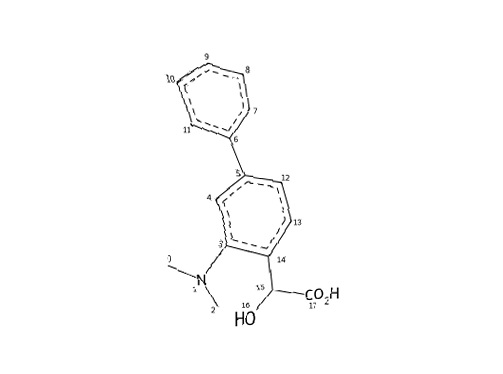 CN(C)c1cc(-c2ccccc2)ccc1C(O)C(=O)O